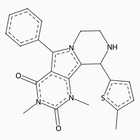 Cc1ccc(C2NCCn3c(-c4ccccc4)c4c(=O)n(C)c(=O)n(C)c4c32)s1